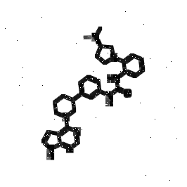 CN(C)[C@@H]1CCN(c2ccccc2NC(=O)Nc2cccc(C3CCCN(c4ncnc5[nH]ccc45)C3)c2)C1